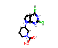 O=C(O)N1CCCC(n2ccc3c(Cl)nc(Cl)nc32)C1